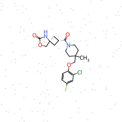 CC1(COc2ccc(F)cc2Cl)CCN(C(=O)[C@H]2C[C@@]3(COC(=O)N3)C2)CC1